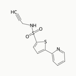 C#CCNS(=O)(=O)c1ccc(-c2ccccn2)s1